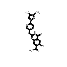 CC(=O)c1cc2nc(Cc3ccc(-n4cc(C)c(C)n4)nc3)[nH]c(=O)c2cc1Cl